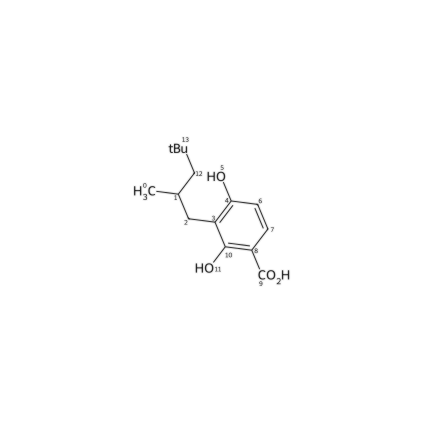 CC(Cc1c(O)ccc(C(=O)O)c1O)CC(C)(C)C